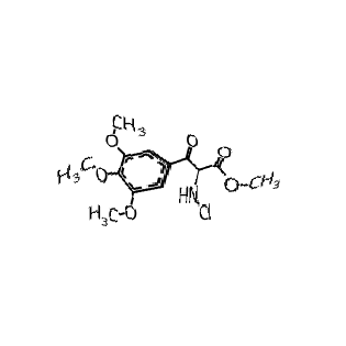 COC(=O)C(NCl)C(=O)c1cc(OC)c(OC)c(OC)c1